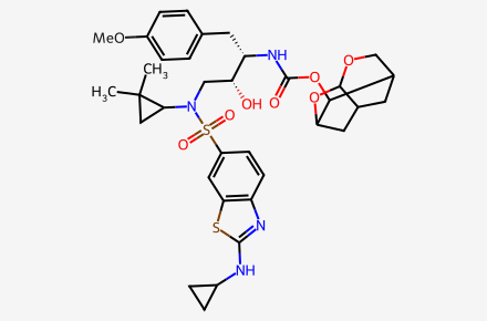 COc1ccc(C[C@H](NC(=O)OC2C3COC4OC2CC4C3)[C@H](O)CN(C2CC2(C)C)S(=O)(=O)c2ccc3nc(NC4CC4)sc3c2)cc1